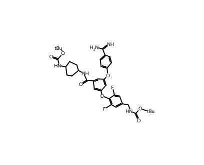 CC(C)(C)OC(=O)NCc1cc(F)c(Oc2cc(Oc3ccc(C(=N)N)cc3)cc(C(=O)NC3CCC(NC(=O)OC(C)(C)C)CC3)c2)c(F)c1